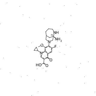 COc1c(N2CC3CCCN[C@@](N)(C3)C2)c(F)cc2c(=O)c(C(=O)O)cn(C3CC3)c12